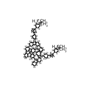 CC(C)(C)c1ccc(-c2cnc(-c3ccc(-n4c5ccccc5c5c4ccc4c6ccccc6n(-c6ccc(C7(c8ccc(-n9c%10ccccc%10c%10ccc%11c(c%12ccccc%12n%11-c%11ccc(-c%12nnc(-c%13ccc(C(C)(C)C)cc%13)s%12)cc%11)c%109)cc8)c8ccccc8-c8ccccc87)cc6)c45)cc3)s2)cc1